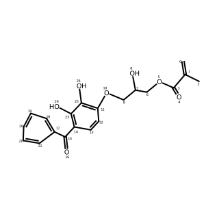 C=C(C)C(=O)OCC(O)COc1ccc(C(=O)c2ccccc2)c(O)c1O